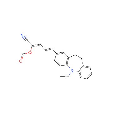 CCN1c2ccccc2CCc2cc(/C=C/C=C(/C#N)OC=O)ccc21